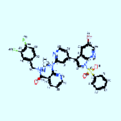 CN(c1cc(-c2cn(S(=O)(=O)c3ccccc3)c3ncc(Br)cc23)ccn1)c1ncccc1C(=O)NCc1ccc(F)c(F)c1